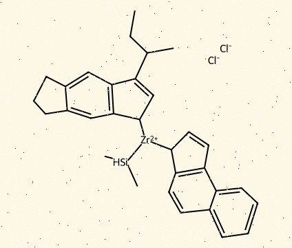 CCC(C)C1=C[CH]([Zr+2]([CH]2C=Cc3c2ccc2ccccc32)[SiH](C)C)c2cc3c(cc21)CCC3.[Cl-].[Cl-]